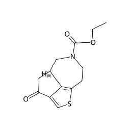 CCOC(=O)N1CCc2scc3c2[C@@H](CC3=O)C1